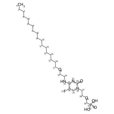 CCCCCCCCCCCCCCCCCCOCCNc1nc(=O)n(CCOCP(=O)(O)O)cc1F